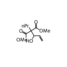 C=CC(O)C(CCC)(C(=O)OC)C(=O)OC